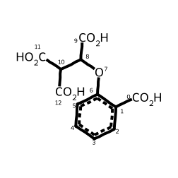 O=C(O)c1ccccc1OC(C(=O)O)C(C(=O)O)C(=O)O